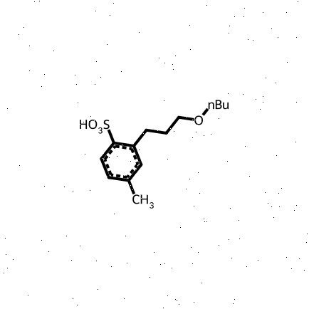 CCCCOCCCc1cc(C)ccc1S(=O)(=O)O